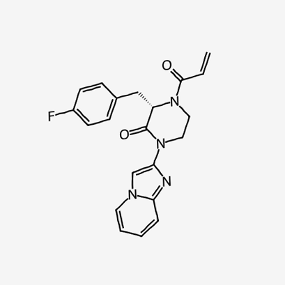 C=CC(=O)N1CCN(c2cn3ccccc3n2)C(=O)[C@@H]1Cc1ccc(F)cc1